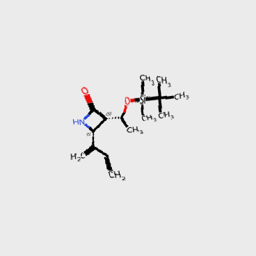 C=CC(=C)[C@H]1NC(=O)[C@@H]1C(C)O[Si](C)(C)C(C)(C)C